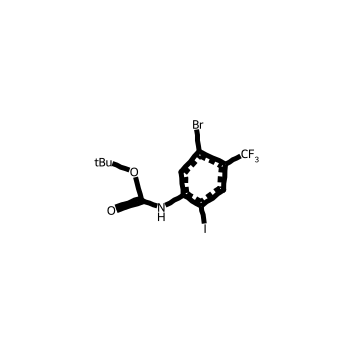 CC(C)(C)OC(=O)Nc1cc(Br)c(C(F)(F)F)cc1I